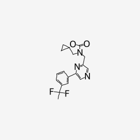 CC(F)(F)c1cccc(-c2cncc(CN3CC4(CC4)OC3=O)n2)c1